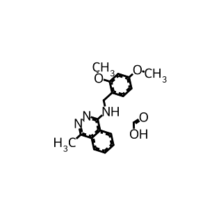 COc1ccc(CNc2nnc(C)c3ccccc23)c(OC)c1.O=CO